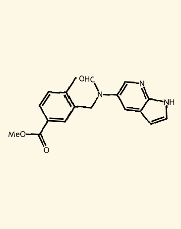 COC(=O)c1ccc(C)c(CN(C=O)c2cnc3[nH]ccc3c2)c1